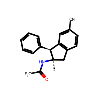 C[C@@]1(NC(=O)C(F)(F)F)Cc2ccc(C#N)cc2[C@@H]1c1ccccc1